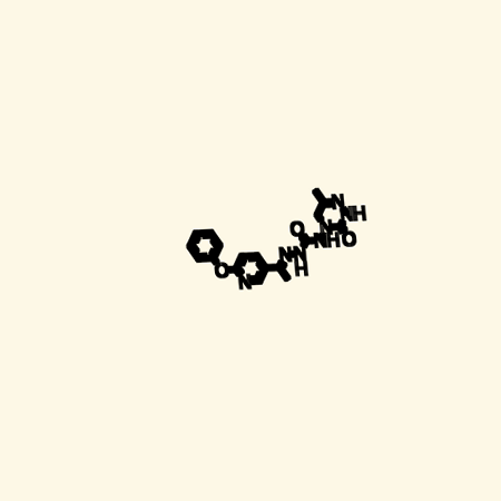 CC1=NNC(=O)N(NC(=O)N/N=C(\C)c2ccc(Oc3ccccc3)nc2)C1